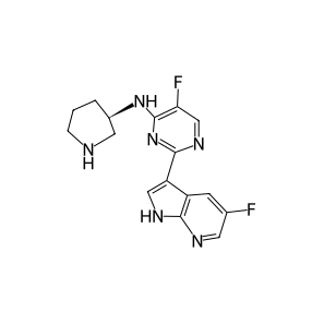 Fc1cnc2[nH]cc(-c3ncc(F)c(N[C@@H]4CCCNC4)n3)c2c1